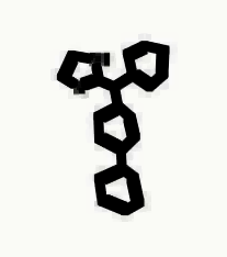 c1ccc(-c2ccc(C(c3ccccc3)c3ncc[nH]3)cc2)cc1